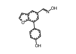 ON=Cc1cc(-c2ccc(O)cc2)c2occc2c1